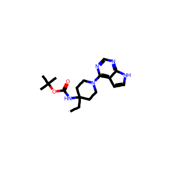 [CH2]CC1(NC(=O)OC(C)(C)C)CCN(c2ncnc3[nH]ccc23)CC1